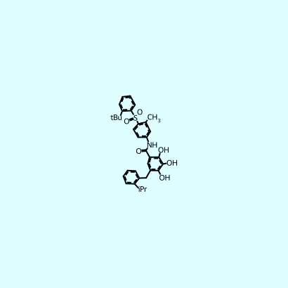 Cc1cc(NC(=O)c2cc(Cc3ccccc3C(C)C)c(O)c(O)c2O)ccc1S(=O)(=O)c1ccccc1C(C)(C)C